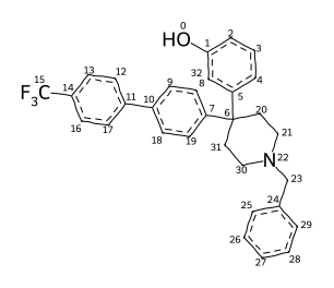 Oc1cccc(C2(c3ccc(-c4ccc(C(F)(F)F)cc4)cc3)CCN(Cc3ccccc3)CC2)c1